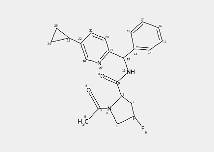 CC(=O)N1CC(F)CC1C(=O)NC(c1ccccc1)c1ccc(C2CC2)cn1